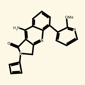 COc1ncccc1-c1cccc2c(N)c3c(nc12)CN(C1=CC=C1)C3=O